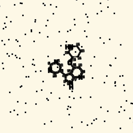 c1ncc(-c2c[nH]c3nccc(O[C@@H]4CCCNC4)c23)cn1